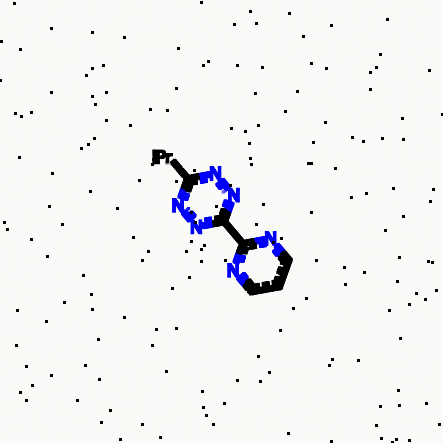 CC(C)c1nnc(-c2ncccn2)nn1